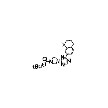 CC(C)(C)OC(=O)N1CCN(c2ncnc(-c3ccc4c(c3)C(C)(C)CCC4)n2)CC1